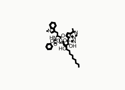 CCCCCCCCCCCCOC(=O)C(Cc1cn(C)c2ccccc12)NP(=O)(OC[C@H]1O[C@@](C#N)(c2ccc3c(C)ncnn23)[C@H](O)[C@@H]1O)Oc1ccccc1